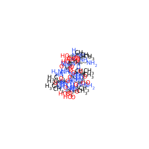 CC[C@H](C)[C@H](NC(=O)[C@H](CCCCN)NC(=O)CNC(=O)[C@@H](NC(=O)[C@H](CCC(N)=O)NC(=O)CNC(=O)[C@@H]1CCCN1C(=O)[C@H](C)NC(=O)[C@@H](NC(=O)[C@H](CCC(N)=O)NC(=O)[C@H](CCCNC(=N)N)NC(=O)[C@@H](NC(=O)[C@H](CCC(=O)O)NC(=O)[C@H](CC(=O)O)NC(=O)CNC(=O)[C@H](CCCNC(=N)N)NC(=O)[C@@H](NC(=O)[C@@H](N)C(C)C)[C@@H](C)CC)C(C)C)[C@@H](C)CC)[C@@H](C)O)C(=O)N[C@@H](C)C(=O)N[C@@H](CC(=O)O)C(=O)O